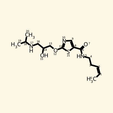 C/C=C\CCNC(=O)c1cnc(OCC(O)CNC(C)C)s1